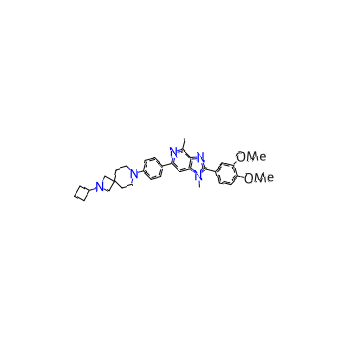 COc1ccc(-c2nc3c(C)nc(-c4ccc(N5CCC6(CC5)CN(C5CCC5)C6)cc4)cc3n2C)cc1OC